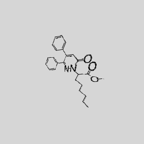 CCCCCCC(C(=O)OC)n1nc(-c2ccccc2)c(-c2ccccc2)cc1=O